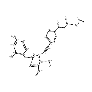 CCOC(=O)CC(=O)c1ccc(C#Cc2cc(Cc3cnc(N)nc3N)cc(OC)c2OC)cc1